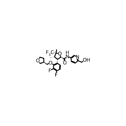 C[C@H]1[C@@H](c2ccc(F)c(F)c2OC[C@@H]2CCOC2)[C@H](C(=O)Nc2ccc(CO)nc2)O[C@@]1(C)C(F)(F)F